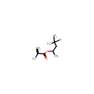 C=C(C(=O)OC(C)CC(CC)(C(F)(F)F)C(F)(F)F)C(F)(F)F